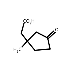 CC1(CC(=O)O)CCC(=O)C1